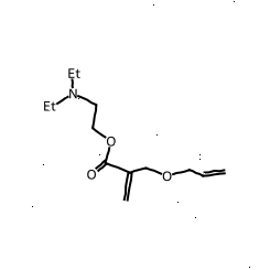 C=CCOCC(=C)C(=O)OCCN(CC)CC